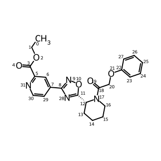 CCOC(=O)c1cc(-c2noc([C@H]3CCCCN3C(=O)COc3ccccc3)n2)ccn1